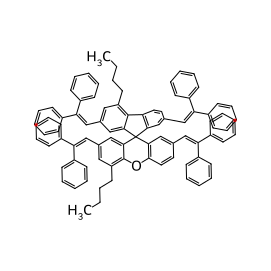 CCCCc1cc(C=C(c2ccccc2)c2ccccc2)cc2c1Oc1ccc(C=C(c3ccccc3)c3ccccc3)cc1C21c2cc(C=C(c3ccccc3)c3ccccc3)ccc2-c2c(CCCC)cc(C=C(c3ccccc3)c3ccccc3)cc21